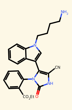 CCOC(=O)c1ccccc1-n1c(-c2cn(CCCCN)c3ccccc23)c(C#N)[nH]c1=O